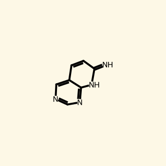 N=c1ccc2cncnc2[nH]1